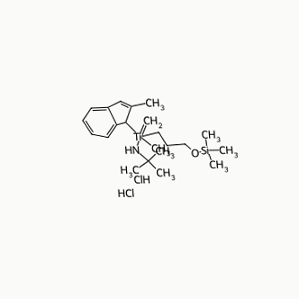 Cl.Cl.[CH2]=[Ti]([CH3])([CH2]CCO[Si](C)(C)C)([NH]C(C)(C)C)[CH]1C(C)=Cc2ccccc21